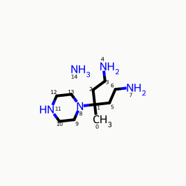 CC(CCN)(CCN)N1CCNCC1.N